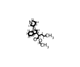 CCCC(C(=O)OCC)c1cn(-c2cccnc2)c2ccccc12